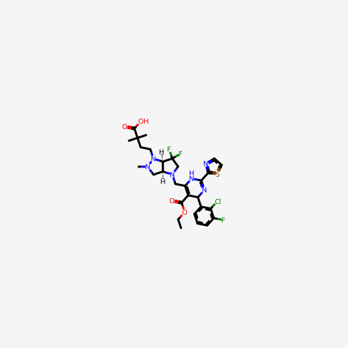 CCOC(=O)C1=C(CN2CC(F)(F)[C@H]3[C@@H]2CN(C)N3CCC(C)(C)C(=O)O)NC(c2nccs2)=NC1c1cccc(F)c1Cl